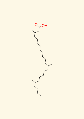 CCCCC(C)CCCCCC(C)CCCCCCCCCC(C)CC(=O)O